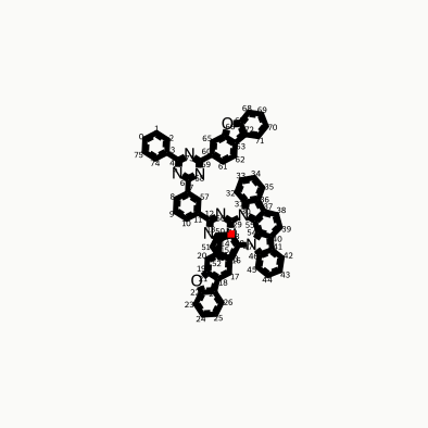 c1ccc(-c2nc(-c3cccc(-c4nc(-c5ccc6c(c5)oc5ccccc56)nc(-n5c6ccccc6c6ccc7c8ccccc8n(-c8ccccc8)c7c65)n4)c3)nc(-c3ccc4c(c3)oc3ccccc34)n2)cc1